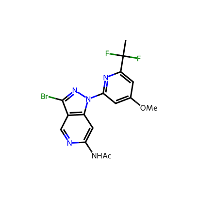 COc1cc(-n2nc(Br)c3cnc(NC(C)=O)cc32)nc(C(C)(F)F)c1